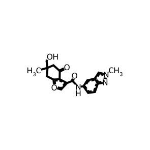 Cn1cc2cc(NC(=O)c3coc4c3C(=O)CC(C)(CO)C4)ccc2n1